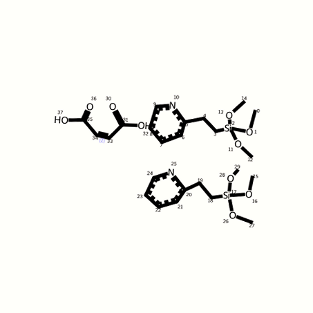 CO[Si](CCc1ccccn1)(OC)OC.CO[Si](CCc1ccccn1)(OC)OC.O=C(O)/C=C\C(=O)O